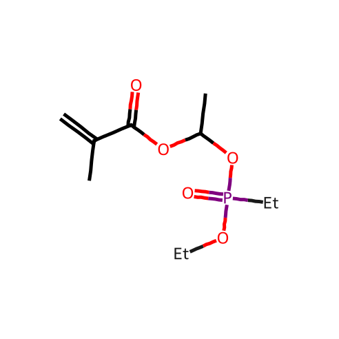 C=C(C)C(=O)OC(C)OP(=O)(CC)OCC